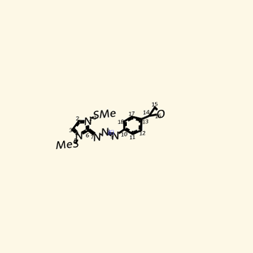 CSn1ccn(SC)c1=N/N=N/c1ccc(C2CO2)cc1